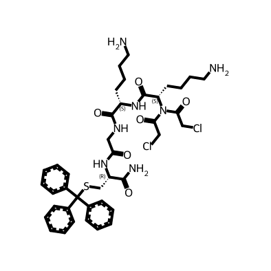 NCCCC[C@H](NC(=O)[C@H](CCCCN)N(C(=O)CCl)C(=O)CCl)C(=O)NCC(=O)N[C@@H](CSC(c1ccccc1)(c1ccccc1)c1ccccc1)C(N)=O